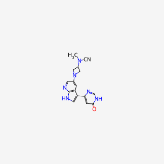 CN(C#N)C1CN(c2cnc3[nH]cc(-c4cc(=O)[nH]cn4)c3c2)C1